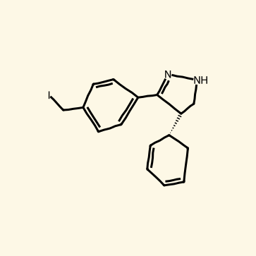 ICc1ccc(C2=NNCC2[C@H]2C=CC=CC2)cc1